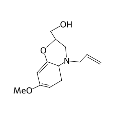 C=CCN1CC(CO)OC2=CC(OC)=CCC21